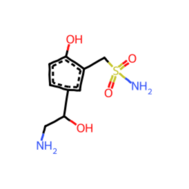 NCC(O)c1ccc(O)c(CS(N)(=O)=O)c1